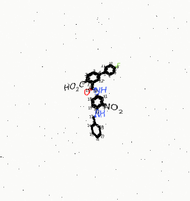 O=C(O)c1ccc(-c2ccc(F)cc2)cc1C(=O)Nc1ccc(NCC2CCCCC2)c([N+](=O)[O-])c1